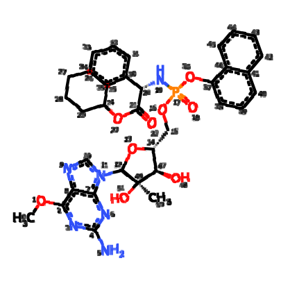 COc1nc(N)nc2c1ncn2C1O[C@H](COP(=O)(N[C@H](C(=O)OC2CCCCC2)c2ccccc2)Oc2cccc3ccccc23)[C@@H](O)[C@@]1(C)O